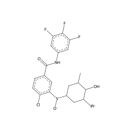 CC(C)C1CC([S+]([O-])c2cc(C(=O)Nc3cc(F)c(F)c(F)c3)ccc2Cl)CC(C)C1O